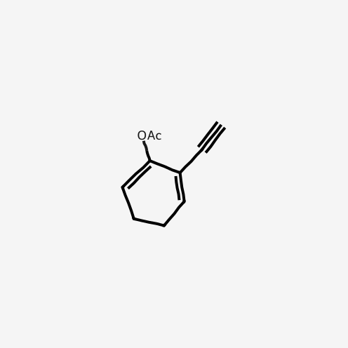 C#CC1=CCCC=C1OC(C)=O